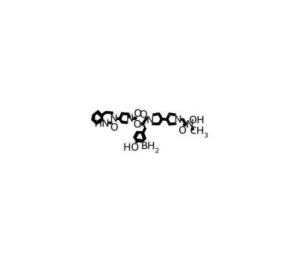 Bc1cc(C[C@@H](OC(=O)N2CCC(N3CCc4ccccc4NC3=O)CC2)C(=O)N2CCC(C3CCN(CC(=O)N(C)O)CC3)CC2)ccc1O